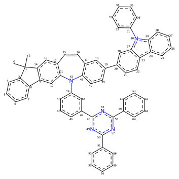 CC1(C)c2ccccc2-c2cc3c(cc21)C=Cc1cc(-c2ccc4c5ccccc5n(-c5ccccc5)c4c2)ccc1N3c1cccc(-c2nc(-c3ccccc3)nc(-c3ccccc3)n2)c1